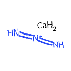 N=[N+]=N.[CaH2]